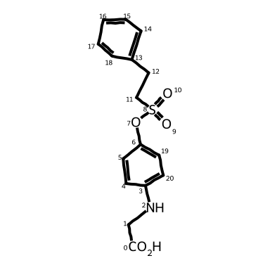 O=C(O)CNc1ccc(OS(=O)(=O)CCc2ccccc2)cc1